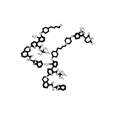 Cc1c(OC2CCC(CCCC=O)CC2)cccc1-c1ccc(N2CCc3cccc(C(=O)Nc4nc5ccccc5s4)c3C2)nc1C(=O)OC(C)(C)C.Cc1c(OC2CCC(CCCCN3CCC(Oc4ccc5c(C6CCC(=O)NC6=O)nn(C)c5c4)CC3)CC2)cccc1-c1ccc(N2CCc3cccc(C(=O)Nc4nc5ccccc5s4)c3C2)nc1C(=O)OC(C)(C)C